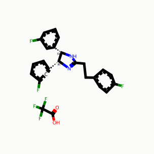 Fc1ccc(CCC2=N[C@H](c3cccc(F)c3)[C@H](c3cccc(F)c3)N2)cc1.O=C(O)C(F)(F)F